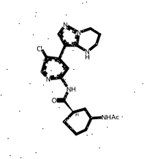 CC(=O)NC1CCC[C@@H](C(=O)Nc2cc(-c3cnn4c3NCCC4)c(Cl)cn2)C1